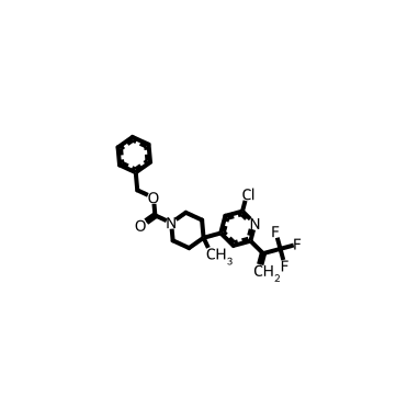 C=C(c1cc(C2(C)CCN(C(=O)OCc3ccccc3)CC2)cc(Cl)n1)C(F)(F)F